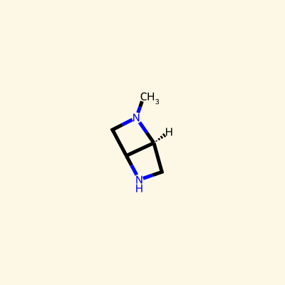 CN1CC2NC[C@@H]21